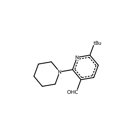 CC(C)(C)c1ccc(C=O)c(N2CCCCC2)n1